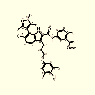 COC(=O)c1cc(NC(=O)c2[nH]c3c(-c4c(C)nn(C)c4C)c(Cl)ccc3c2CCCOc2cc(C)c(Cl)c(C)c2)ccc1C